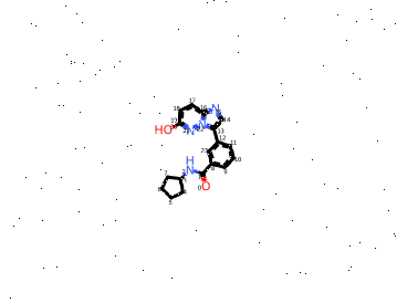 O=C(NC1CCCC1)c1cccc(-c2cnc3ccc(O)nn23)c1